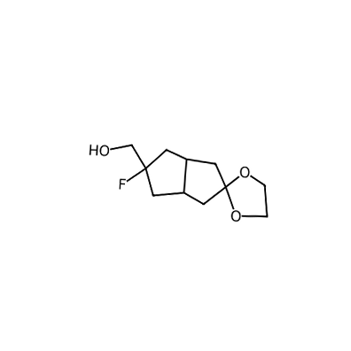 OCC1(F)CC2CC3(CC2C1)OCCO3